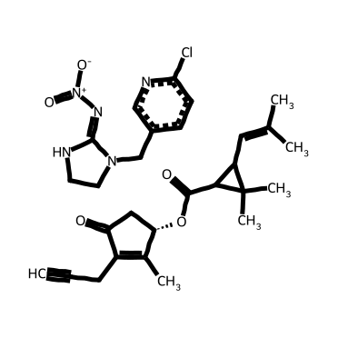 C#CCC1=C(C)[C@@H](OC(=O)C2C(C=C(C)C)C2(C)C)CC1=O.O=[N+]([O-])/N=C1\NCCN1Cc1ccc(Cl)nc1